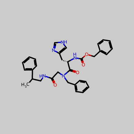 CC(CNC(=O)CN(Cc1ccccc1)C(=O)[C@H](Cc1c[nH]cn1)NC(=O)OCc1ccccc1)c1ccccc1